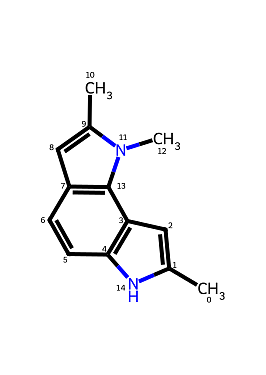 Cc1cc2c(ccc3cc(C)n(C)c32)[nH]1